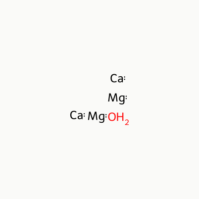 O.[Ca].[Ca].[Mg].[Mg]